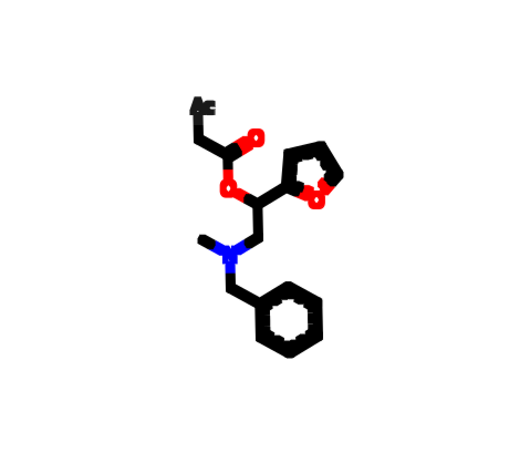 CC(=O)CC(=O)OC(CN(C)Cc1ccccc1)c1ccco1